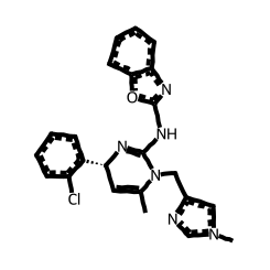 CC1=C[C@H](c2ccccc2Cl)N=C(Nc2nc3ccccc3o2)N1Cc1cn(C)cn1